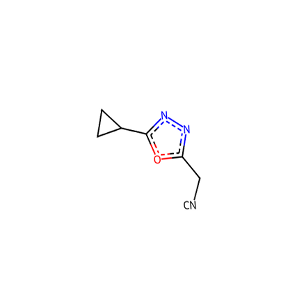 [C-]#[N+]Cc1nnc(C2CC2)o1